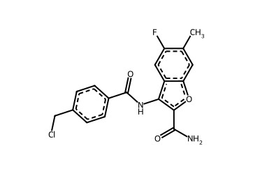 Cc1cc2oc(C(N)=O)c(NC(=O)c3ccc(CCl)cc3)c2cc1F